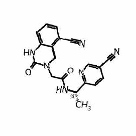 C[C@H](NC(=O)CN1Cc2c(C#N)cccc2NC1=O)c1ccc(C#N)cn1